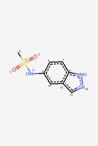 CS(=O)(=O)Nc1ccc2[nH]ncc2c1